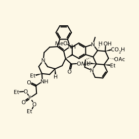 CCOP(=O)(CC(=O)N[C@@]1(CC)C[C@@H]2CN(CCc3c([nH]c4ccccc34)[C@@](C(=O)OC)(C3C=C4C(=CC3OC)N(C)[C@H]3[C@@](O)(C(=O)O)[C@H](OC(C)=O)[C@]5(CC)C=CCN6CC[C@]43[C@@H]65)C2)C1)OCC